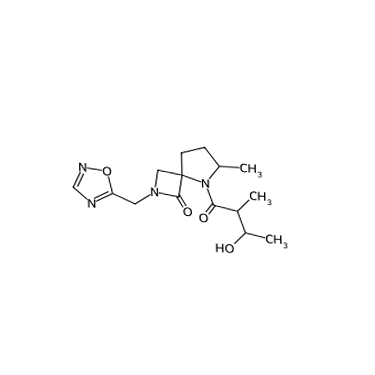 CC(O)C(C)C(=O)N1C(C)CCC12CN(Cc1ncno1)C2=O